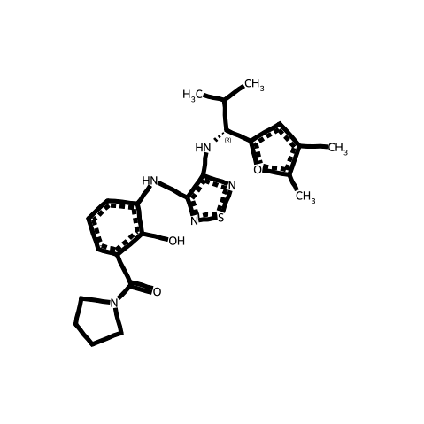 Cc1cc([C@H](Nc2nsnc2Nc2cccc(C(=O)N3CCCC3)c2O)C(C)C)oc1C